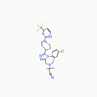 CC(C)(C#N)N1Cc2cc(Cl)ccc2-n2c(nnc2C2CCN(c3nccc(C(F)(F)F)n3)CC2)C1